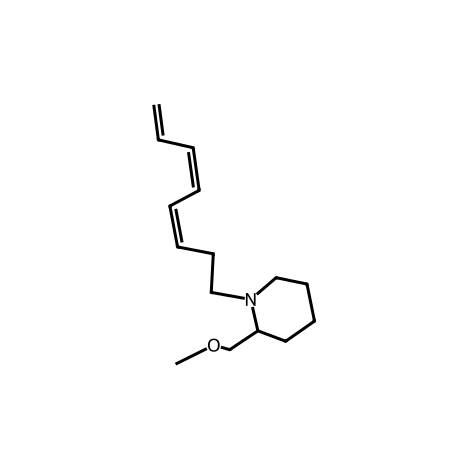 C=C/C=C\C=C/CCN1CCCCC1COC